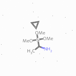 C1CC1.CO[Si](OC)(OC)C(C)N